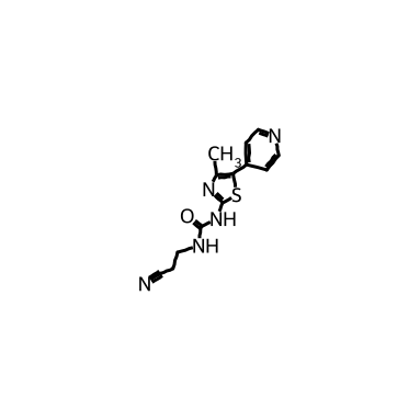 Cc1nc(NC(=O)NCCC#N)sc1-c1ccncc1